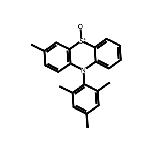 Cc1cc(C)c(N2c3ccccc3[S+]([O-])c3cc(C)ccc32)c(C)c1